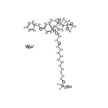 CC(C)(C)[Si](C)(C)OCCCCCCCCCCCOCCO[C@H]1C[C@@]2(C)C(CCC23OCCO3)[C@H]2CCc3cc(OCc4ccccc4)ccc3[C@H]12.[H-].[Na+]